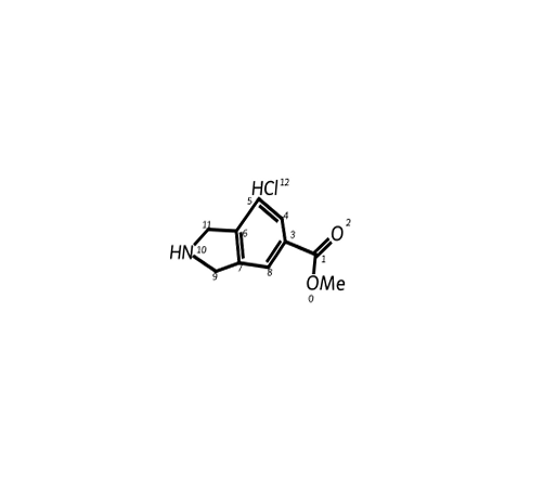 COC(=O)c1ccc2c(c1)CNC2.Cl